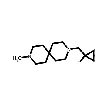 CN1CCC2(CC1)CCN(CC1(F)CC1)CC2